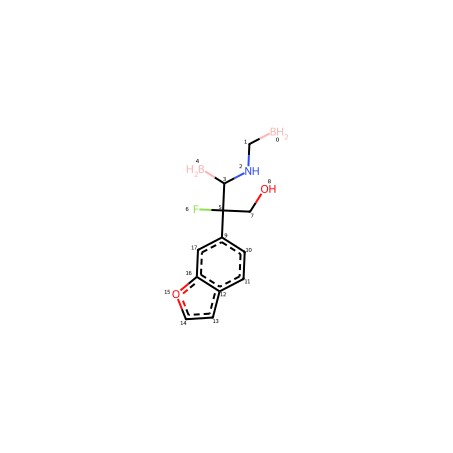 BCNC(B)C(F)(CO)c1ccc2ccoc2c1